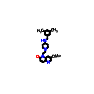 COc1cnc2ccc(=O)n(CCN3CCC(NCc4cc(C)cc(C)c4)CC3)c2c1